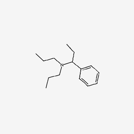 CCCN(CCC)C(CC)c1ccccc1